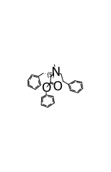 CN(CCc1ccccc1)[C@@H](Cc1ccccc1)C(=O)Oc1ccccc1